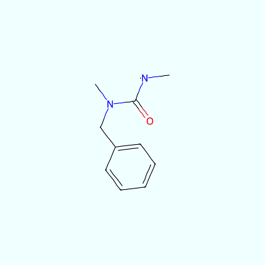 C[N]C(=O)N(C)Cc1ccccc1